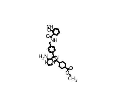 CCOC(=O)C1CCC(c2nc(-c3ccc(CNC(=O)c4ccccc4OC)cc3)c3c(N)nccn23)CC1